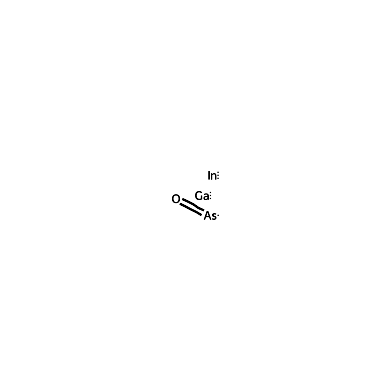 O=[As].[Ga].[In]